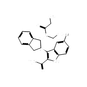 CC(=O)OCC(=O)N(CC(=O)O)[C@H]1c2ccccc2C[C@@H]1c1c(C(N)=O)[nH]c2ccc(Cl)cc12